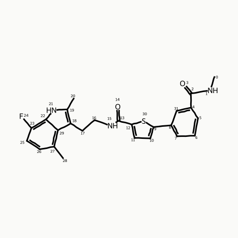 CNC(=O)c1cccc(-c2ccc(C(=O)NCCc3c(C)[nH]c4c(F)ccc(C)c34)s2)c1